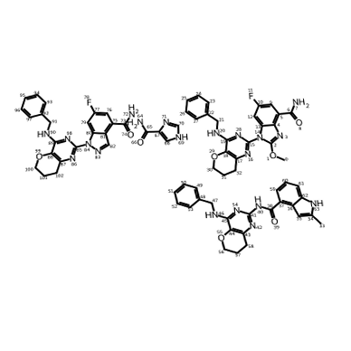 COc1nc2c(C(N)=O)cc(F)cc2n1-c1nc2c(c(NCc3ccccc3)n1)OCCC2.Cc1cc2c(C(=O)Nc3nc4c(c(NCc5ccccc5)n3)OCCC4)cccc2[nH]1.NC(=O)c1c[nH]cn1.NC(=O)c1cc(F)cc2c1cnn2-c1nc2c(c(NCc3ccccc3)n1)OCCC2